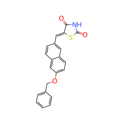 O=C1NC(=O)C(=Cc2ccc3cc(OCc4ccccc4)ccc3c2)S1